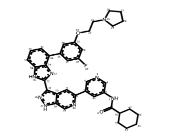 O=C(Nc1cncc(-c2cc3c(-c4nc5c(-c6cc(F)cc(OCCN7CCCC7)c6)cccc5[nH]4)n[nH]c3cn2)c1)C1CCCCC1